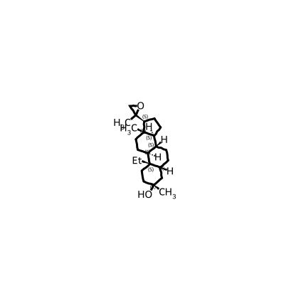 CC[C@]12CC[C@@](C)(O)C[C@H]1CC[C@H]1[C@@H]3CC[C@H](C4(C)CO4)[C@@]3(C)CC[C@@H]12